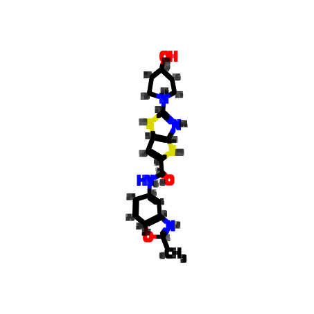 Cc1nc2cc(NC(=O)c3cc4sc(N5CCC(O)CC5)nc4s3)ccc2o1